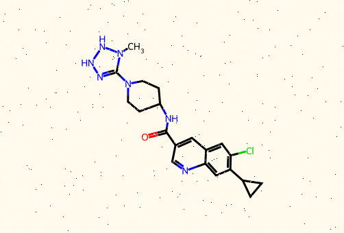 CN1NNN=C1N1CCC(NC(=O)c2cnc3cc(C4CC4)c(Cl)cc3c2)CC1